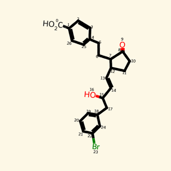 O=C(O)c1ccc(CCC2C(=O)CCC2/C=C/C(O)Cc2cccc(Br)c2)cc1